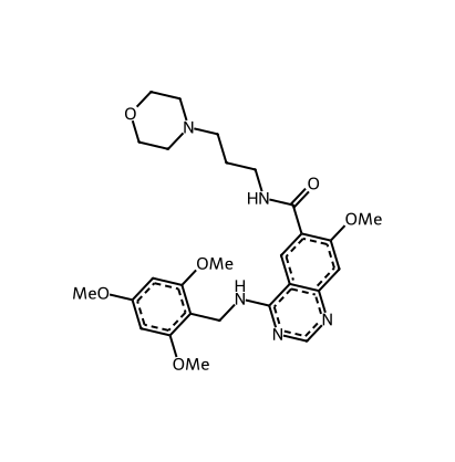 COc1cc(OC)c(CNc2ncnc3cc(OC)c(C(=O)NCCCN4CCOCC4)cc23)c(OC)c1